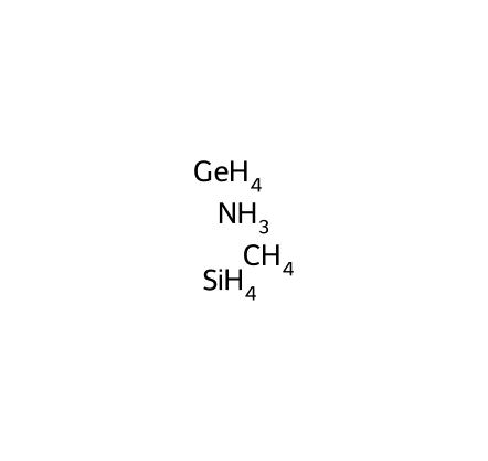 C.N.[GeH4].[SiH4]